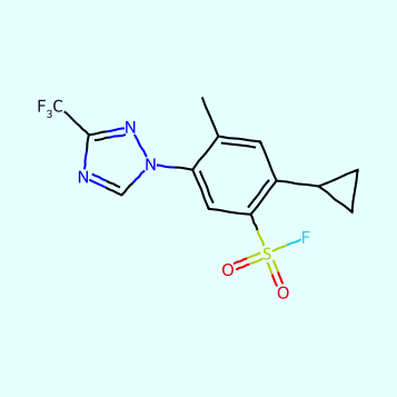 Cc1cc(C2CC2)c(S(=O)(=O)F)cc1-n1cnc(C(F)(F)F)n1